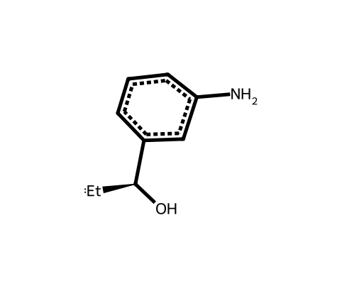 C[C][C@H](O)c1cccc(N)c1